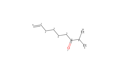 C=CCCCCC(=O)C(CC)CC